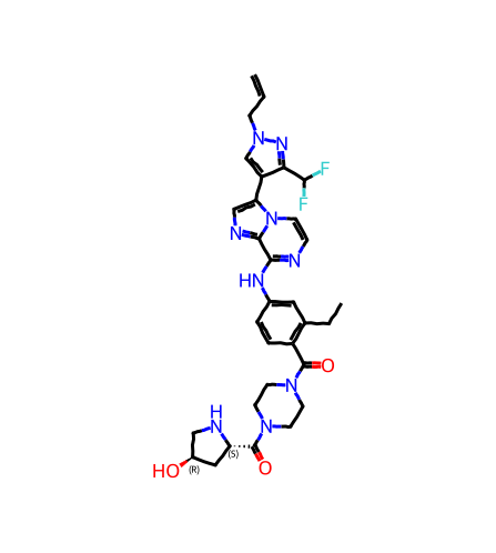 C=CCn1cc(-c2cnc3c(Nc4ccc(C(=O)N5CCN(C(=O)[C@@H]6C[C@@H](O)CN6)CC5)c(CC)c4)nccn23)c(C(F)F)n1